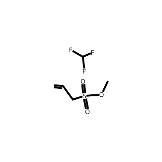 C=CCS(=O)(=O)OC.FC(F)F